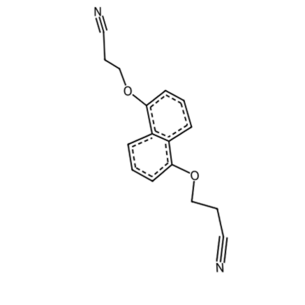 N#CCCOc1cccc2c(OCCC#N)cccc12